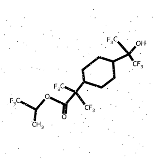 CC(OC(=O)C(C1CCC(C(O)(C(F)(F)F)C(F)(F)F)CC1)(C(F)(F)F)C(F)(F)F)C(F)(F)F